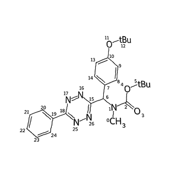 CN(C(=O)OC(C)(C)C)C(c1ccc(OC(C)(C)C)cc1)c1nnc(-c2ccccc2)nn1